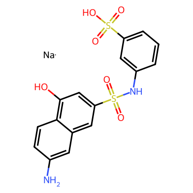 Nc1ccc2c(O)cc(S(=O)(=O)Nc3cccc(S(=O)(=O)O)c3)cc2c1.[Na]